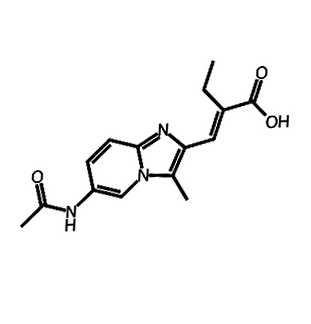 CC/C(=C\c1nc2ccc(NC(C)=O)cn2c1C)C(=O)O